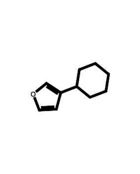 c1cc(C2CCCCC2)co1